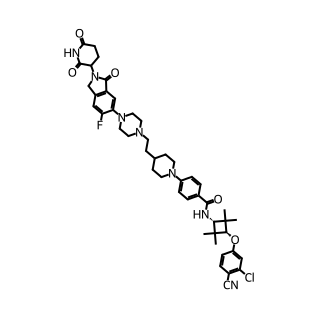 CC1(C)[C@H](NC(=O)c2ccc(N3CCC(CCN4CCN(c5cc6c(cc5F)CN(C5CCC(=O)NC5=O)C6=O)CC4)CC3)cc2)C(C)(C)[C@H]1Oc1ccc(C#N)c(Cl)c1